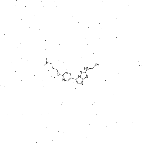 CC(C)CNc1nn2c(-c3ccc(OCCCN(C)C)nc3)cnc2s1